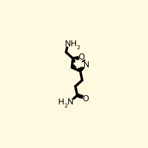 NCc1cc(CCC(N)=O)no1